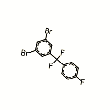 Fc1ccc(C(F)(F)c2cc(Br)cc(Br)c2)cc1